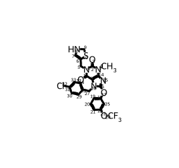 Cn1c(=O)n(CC2=CNCS2)c(=O)c2c1nc(Oc1cccc(OC(F)(F)F)c1)n2Cc1ccc(Cl)cc1